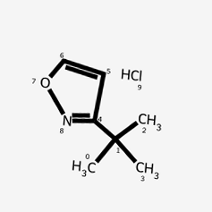 CC(C)(C)c1ccon1.Cl